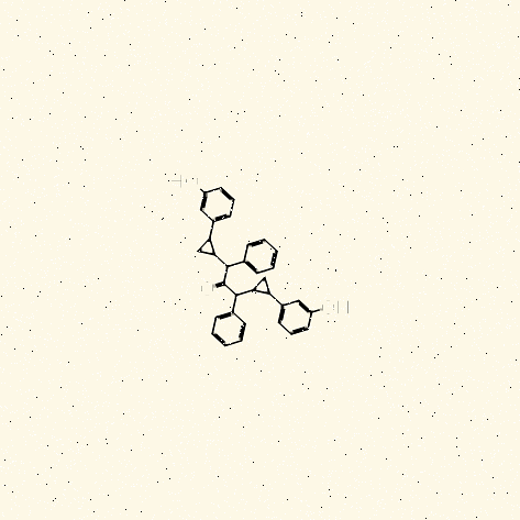 O=C(C(c1ccccc1)C1CC1c1cccc(O)c1)C(c1ccccc1)C1CC1c1cccc(O)c1